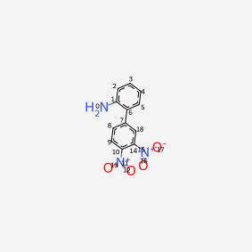 Nc1ccccc1-c1ccc([N+](=O)[O-])c([N+](=O)[O-])c1